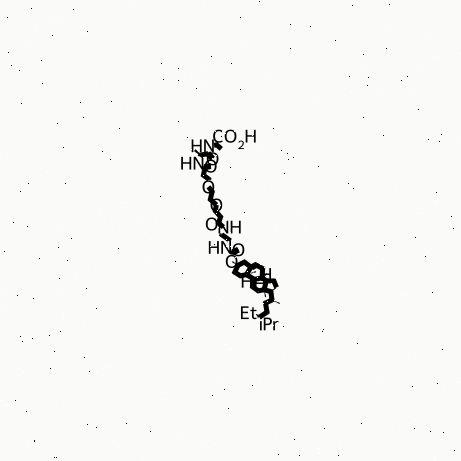 CC[C@H](CC[C@@H](C)[C@H]1CC[C@H]2[C@@H]3CC=C4C[C@@H](OC(=O)NCCNC(=O)CCOCCOCCC(=O)N[C@@H](C)C(=O)N[C@@H](C)C(=O)O)CC[C@]4(C)[C@H]3CC[C@]12C)C(C)C